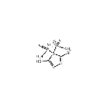 NP(N)(=S)S1(P(N)(N)=S)C(S)=NN=C1S